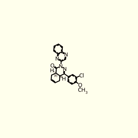 COc1ccc(C2=NN(c3cnc4ccccc4n3)C(=O)[C@@H]3CC=CC[C@H]23)cc1Cl